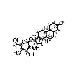 C[C@]12CC[C@H]3[C@@H](CCC4CC(=O)CC[C@@]43C)[C@@H]1CC[C@@H]2OC1O[C@H](CO)[C@@H](O)[C@H](O)[C@H]1O